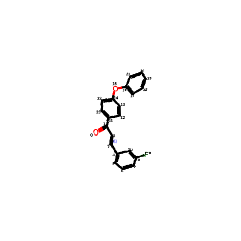 O=C(/C=C/c1cccc(F)c1)c1ccc(Oc2ccccc2)cc1